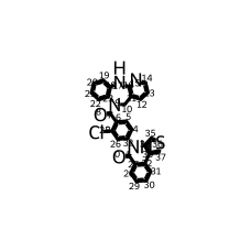 O=C(Nc1ccc(C(=O)N2Cc3cccnc3Nc3ccccc32)c(Cl)c1)c1ccccc1-c1ccsc1